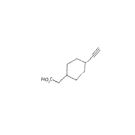 C#CC1CCC(CC(=O)O)CC1